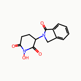 O=C1CCC(N2Cc3ccccc3C2=O)C(=O)N1O